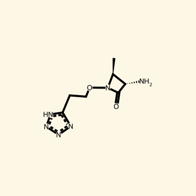 C[C@H]1[C@H](N)C(=O)N1OCCc1nnn[nH]1